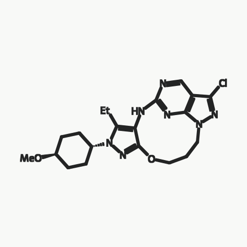 CCc1c2c(nn1[C@H]1CC[C@H](OC)CC1)OCCCn1nc(Cl)c3cnc(nc31)N2